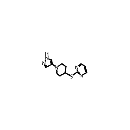 c1cnc(SC2CCN(c3cn[nH]c3)CC2)nc1